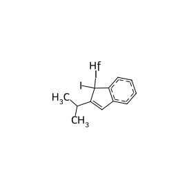 CC(C)C1=Cc2ccccc2C1(I)I.[Hf]